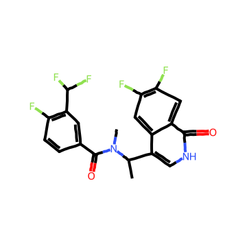 CC(c1c[nH]c(=O)c2cc(F)c(F)cc12)N(C)C(=O)c1ccc(F)c(C(F)F)c1